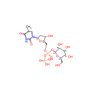 Cc1cn([C@H]2CC(O)[C@@H](COP(=O)(O[C@@H]3O[C@H](CO)[C@@H](O)[C@@H](O)[C@H]3O)OP(=O)(O)O)O2)c(=O)[nH]c1=O